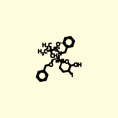 CC(C)(C)[S@+]([O-])N(Cc1ccccc1)[C@@H](COCc1ccccc1)[C@@H]1CCC(I)C(O)O1